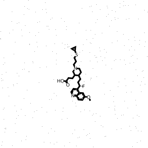 COc1ccc2nccc([C@@H](F)CCC3CCN(CCCSC4CC4)CC3CCC(=O)O)c2c1